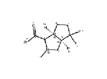 CC(C)C(=O)C1[C@H]2CCC(F)(F)[C@H]2CN1C